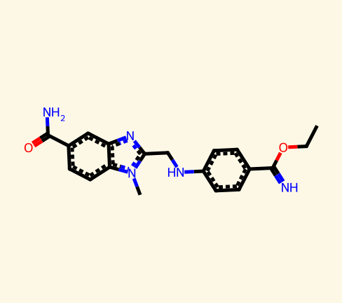 CCOC(=N)c1ccc(NCc2nc3cc(C(N)=O)ccc3n2C)cc1